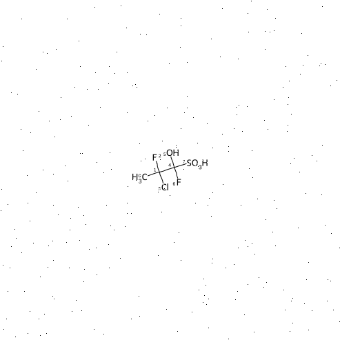 CC(F)(Cl)C(O)(F)S(=O)(=O)O